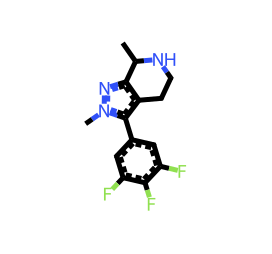 CC1NCCc2c1nn(C)c2-c1cc(F)c(F)c(F)c1